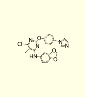 Cc1c(Cl)nc(Oc2ccc(-n3ccnc3)cc2)nc1Nc1ccc2c(c1)OCO2